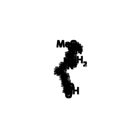 COc1ccc(F)cc1C(=O)NCc1ccc(-c2nn(-c3ccc(C4CCCCN4CC4CCN(c5ccc(N6CCC(=O)NC6=O)c(C)c5)CC4)cc3)c3ncnc(N)c23)cc1F